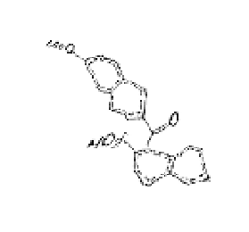 COc1ccc2cc(C(=O)c3c(C(=O)O)ccc4ccccc34)ccc2c1